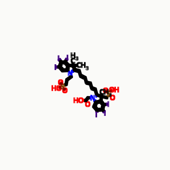 CC1(CS(=O)(=O)O)C(/C=C/C=C/C=C/C=C2\N(CCCS(=O)(=O)O)c3cc(I)c(I)c(I)c3C2(C)C)=[N+](CC(=O)O)c2cc(I)c(I)c(I)c21